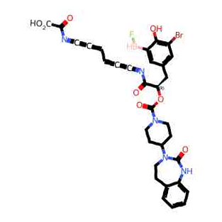 O=C(O)C(=O)N=C=C=CC=C=C=NC(=O)[C@@H](Cc1cc(Br)c(O)c(BF)c1)OC(=O)N1CCC(N2CCc3ccccc3NC2=O)CC1